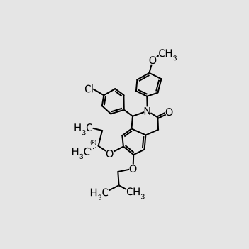 CC[C@@H](C)Oc1cc2c(cc1OCC(C)C)CC(=O)N(c1ccc(OC)cc1)C2c1ccc(Cl)cc1